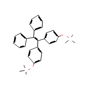 CC(C)(C)[Si](C)(C)Oc1ccc(C(=C(c2ccccc2)c2ccccc2)c2ccc(O[Si](C)(C)C(C)(C)C)cc2)cc1